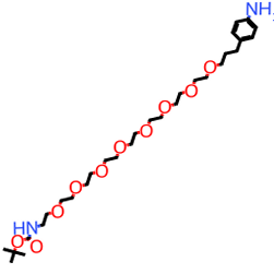 CC(C)(C)OC(=O)NCCOCCOCCOCCOCCOCCOCCOCCOCCCc1ccc(N)cc1